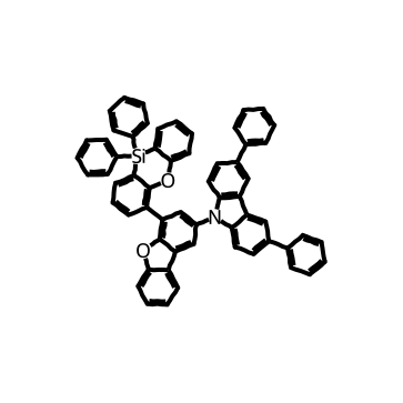 c1ccc(-c2ccc3c(c2)c2cc(-c4ccccc4)ccc2n3-c2cc(-c3cccc4c3Oc3ccccc3[Si]4(c3ccccc3)c3ccccc3)c3oc4ccccc4c3c2)cc1